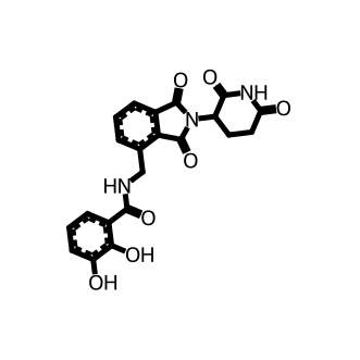 O=C1CCC(N2C(=O)c3cccc(CNC(=O)c4cccc(O)c4O)c3C2=O)C(=O)N1